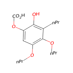 CCCOc1cc(OC(=O)O)c(O)c(CCC)c1OCCC